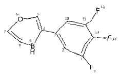 Fc1cc(C2=COC=CB2)cc(F)c1F